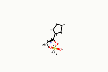 N#C/C=C(\OS(=O)(=O)C(F)(F)F)C1CCCC1